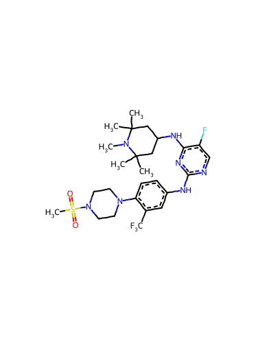 CN1C(C)(C)CC(Nc2nc(Nc3ccc(N4CCN(S(C)(=O)=O)CC4)c(C(F)(F)F)c3)ncc2F)CC1(C)C